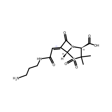 CC1(C)[C@H](C(=O)O)N2C(=O)/C(=C/C(=O)NCCCN)[C@H]2S1(=O)=O